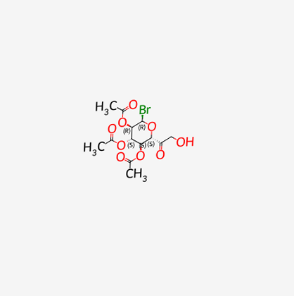 CC(=O)O[C@@H]1[C@@H](OC(C)=O)[C@@H](Br)O[C@H](C(=O)CO)[C@H]1OC(C)=O